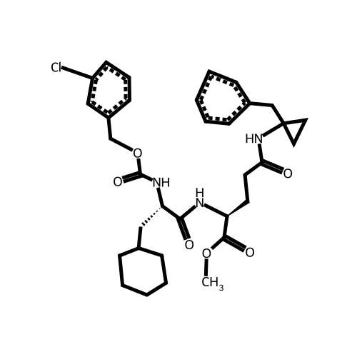 COC(=O)[C@H](CCC(=O)NC1(Cc2ccccc2)CC1)NC(=O)[C@H](CC1CCCCC1)NC(=O)OCc1cccc(Cl)c1